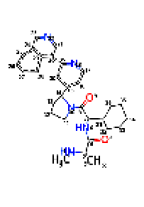 CNC(C)C(=O)NC(C(=O)N1CCCC1c1ccnc(-c2cncc3ccccc23)c1)C1CCCCC1